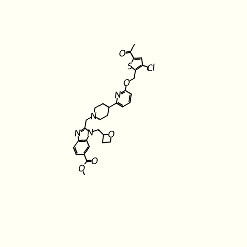 COC(=O)c1ccc2nc(CN3CCC(c4cccc(OCc5sc(C(C)=O)cc5Cl)n4)CC3)n(CC3CCO3)c2c1